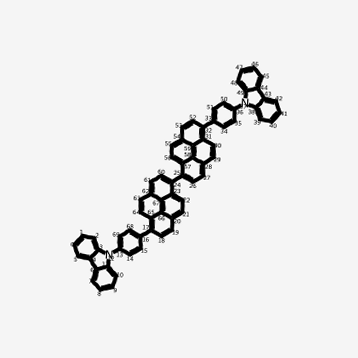 c1ccc2c(c1)c1ccccc1n2-c1ccc(-c2ccc3ccc4c(-c5ccc6ccc7c(-c8ccc(-n9c%10ccccc%10c%10ccccc%109)cc8)ccc8ccc5c6c87)ccc5ccc2c3c54)cc1